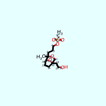 CC1(CCCOS(C)(=O)=O)OCC2(CCO)CCC1O2